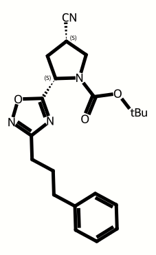 CC(C)(C)OC(=O)N1C[C@@H](C#N)C[C@H]1c1nc(CCCc2ccccc2)no1